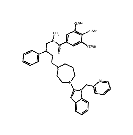 COc1cc(C(=O)N(C)CC(CCN2CCCN(c3nc4ccccc4n3Cc3ccccn3)CC2)c2ccccc2)cc(OC)c1OC